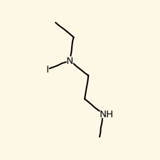 CCN(I)CCNC